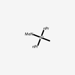 CCC[N+](C)(CCC)NC